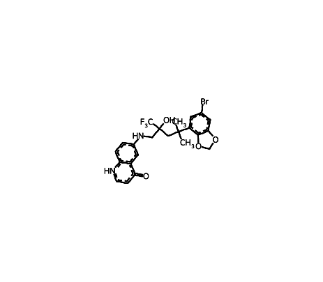 CC(C)(CC(O)(CNc1ccc2[nH]ccc(=O)c2c1)C(F)(F)F)c1cc(Br)cc2c1OCO2